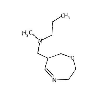 CCCN(C)CC1C=NCCOC1